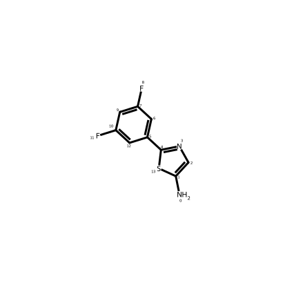 Nc1cnc(-c2cc(F)cc(F)c2)s1